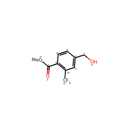 COC(=O)c1ccc(CO)cc1C(F)(F)F